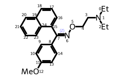 CCN(CC)CCO/N=C(/c1ccc(OC)cc1)c1cccc2ccccc12